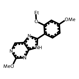 CCOc1cc(OC)ccc1-c1nc2cnc(OC)nc2[nH]1